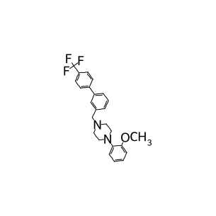 COc1ccccc1N1CCN(Cc2cccc(-c3ccc(C(F)(F)F)cc3)c2)CC1